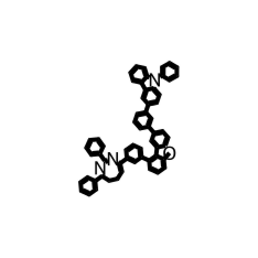 C1=C(c2cccc(-c3cccc4oc5ccc(-c6cccc(-c7ccc8c(c7)c7ccccc7n8-c7ccccc7)c6)cc5c34)c2)/N=C(c2ccccc2)\N=C(\c2ccccc2)CC\1